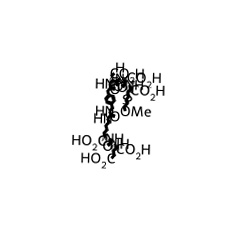 COCCSSC[C@H](NC(=O)[C@H](CC(=O)O)NC(=O)[C@H](CC(=O)O)NC(=O)Cc1ccc(CNC(=O)NCCCC[C@H](NC(=O)N[C@@H](CCC(=O)O)C(=O)O)C(=O)O)cc1)C(=O)O